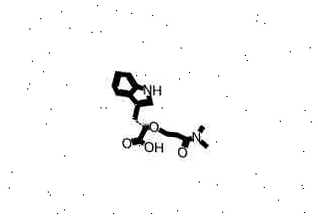 CN(C)C(=O)CCO[C@@H](Cc1c[nH]c2ccccc12)C(=O)O